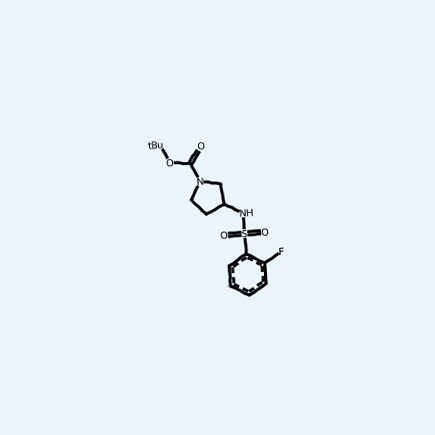 CC(C)(C)OC(=O)N1CCC(NS(=O)(=O)c2c[c]ccc2F)C1